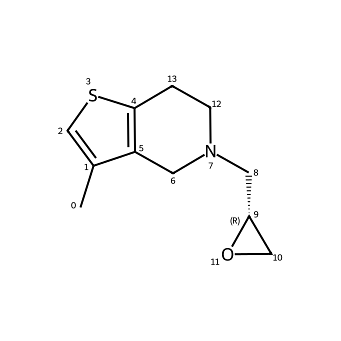 Cc1csc2c1CN(C[C@@H]1CO1)CC2